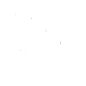 CC(C)Cc1ccc(C(O)c2c[nH]c3ncccc23)c(N)n1